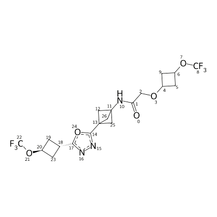 O=C(COC1CC(OC(F)(F)F)C1)NC12CC(c3nnc([C@H]4C[C@H](OC(F)(F)F)C4)o3)(C1)C2